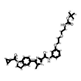 Cc1sc(C(=O)Nc2cccc(OCCOCCNC(=O)OC(C)(C)C)c2)nc1-c1ccc2c(c1)CCN2C(=O)C1CC1